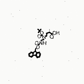 C[C@@H](CCN(CCNC(=O)OCC1c2ccccc2-c2ccccc21)C(=O)OC(C)(C)C)C(=O)O